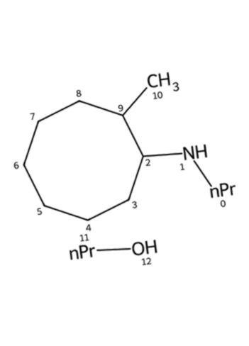 CCCNC1CCCCCCC1C.CCCO